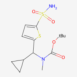 CN(C(=O)OC(C)(C)C)C(c1ccc(S(N)(=O)=O)s1)C1CC1